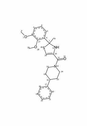 COc1cccc(C2(C)NC(C(=O)N3CCC(c4ccccc4)CC3)=CS2)c1OC